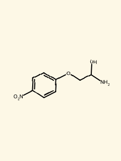 NC(O)COc1ccc([N+](=O)[O-])cc1